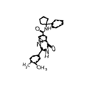 Cc1ccc(-c2nn3cc(C(=O)NC4(c5ccccc5)CCCC4)cc3c(=O)[nH]2)cc1C